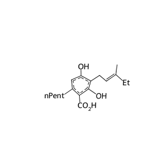 CCCCCc1cc(O)c(CC=C(C)CC)c(O)c1C(=O)O